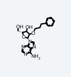 Nc1ncnc2c1ncn2[C@@H]1O[C@H](CO)C(O)C1OCCCc1ccccc1